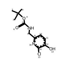 CC(C)(C)OC(=O)NCc1ccc(O)c(Cl)n1